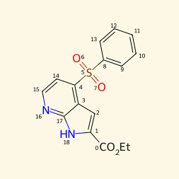 CCOC(=O)c1cc2c(S(=O)(=O)c3ccccc3)ccnc2[nH]1